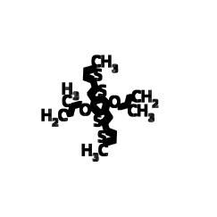 C=CC(C)COc1c2cc(-c3ccc(C)s3)sc2c(OCC(C)C=C)c2cc(-c3ccc(C)s3)sc12